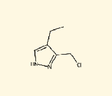 CCc1c[nH]nc1CCl